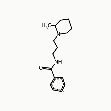 CC1CCCCN1CCCNC(=O)c1cc[c]cc1